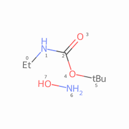 CCNC(=O)OC(C)(C)C.NO